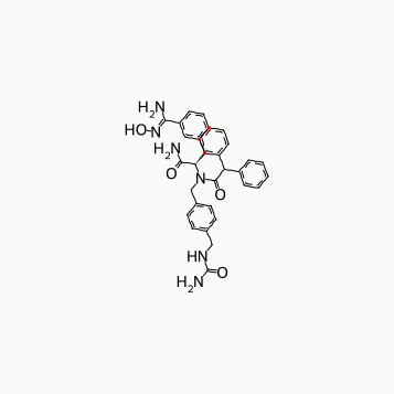 NC(=O)NCc1ccc(CN(C(=O)C(c2ccccc2)c2ccccc2)[C@H](Cc2cccc(C(N)=NO)c2)C(N)=O)cc1